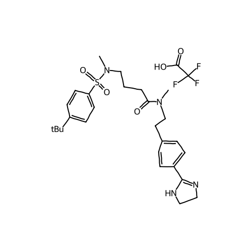 CN(CCc1ccc(C2=NCCN2)cc1)C(=O)CCCN(C)S(=O)(=O)c1ccc(C(C)(C)C)cc1.O=C(O)C(F)(F)F